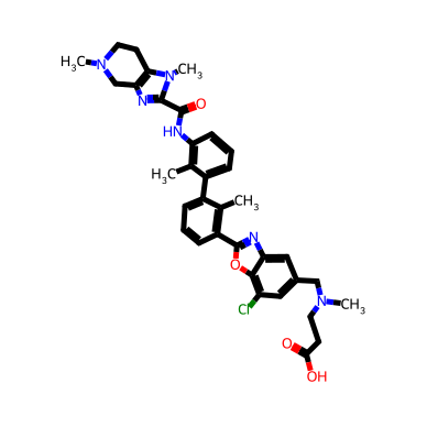 Cc1c(NC(=O)c2nc3c(n2C)CCN(C)C3)cccc1-c1cccc(-c2nc3cc(CN(C)CCC(=O)O)cc(Cl)c3o2)c1C